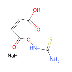 NC(=S)NOC(=O)/C=C\C(=O)O.[NaH]